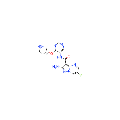 Nc1nn2cc(F)cnc2c1C(=O)Nc1cncnc1O[C@@H]1CCNC1